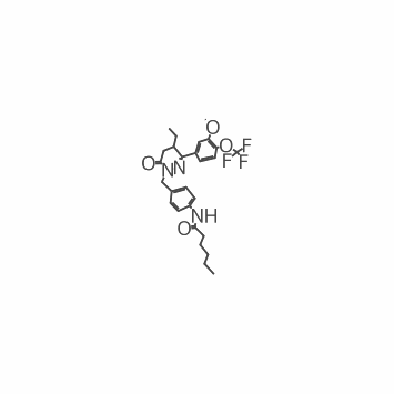 CCCCCC(=O)Nc1ccc(CN2N=C(c3ccc(OC(F)(F)F)c(OC)c3)C(CC)CC2=O)cc1